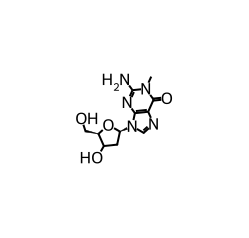 Cn1c(N)nc2c(ncn2[C@H]2CC(O)[C@@H](CO)O2)c1=O